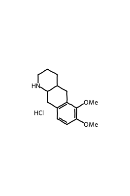 COc1ccc2c(c1OC)CC1CCCNC1C2.Cl